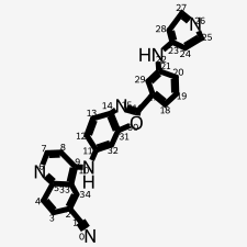 N#Cc1ccc2nccc(Nc3ccc4nc(-c5cccc(Nc6ccncc6)c5)oc4c3)c2c1